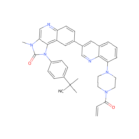 C=CC(=O)N1CCN(c2cccc3cc(-c4ccc5ncc6c(c5c4)n(-c4ccc(C(C)(C)C#N)cc4)c(=O)n6C)cnc23)CC1